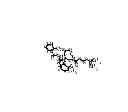 Cc1ncccc1C(=O)Nc1nc2cccc(C)c2n1C1CCCCN(C(=O)C=CCN(C)C)C1